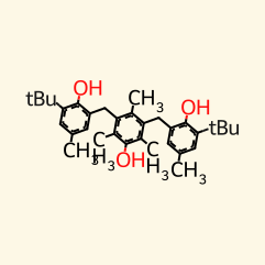 Cc1cc(Cc2c(C)c(O)c(C)c(Cc3cc(C)cc(C(C)(C)C)c3O)c2C)c(O)c(C(C)(C)C)c1